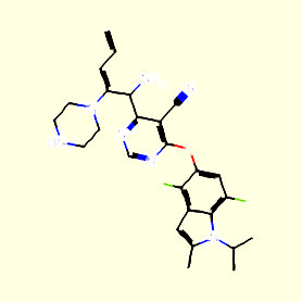 C=C/C=C(\C(N)c1ncnc(Oc2cc(F)c3c(cc(C)n3C(C)C)c2F)c1C#N)N1CCNCC1